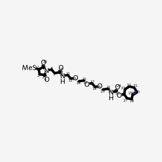 CSC1CC(=O)N(CCC(=O)NCCOCCOCCOCCNC(=O)OC2CC/C=C/CCC2)C1=O